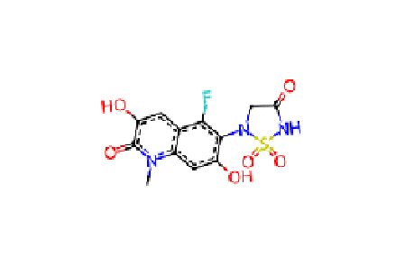 Cn1c(=O)c(O)cc2c(F)c(N3CC(=O)NS3(=O)=O)c(O)cc21